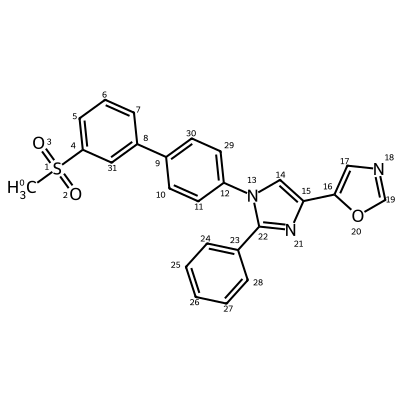 CS(=O)(=O)c1cccc(-c2ccc(-n3cc(-c4cnco4)nc3-c3ccccc3)cc2)c1